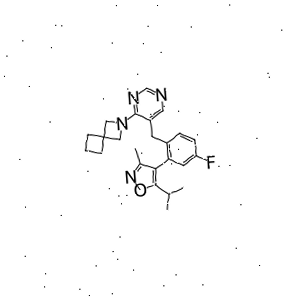 Cc1noc(C(C)C)c1-c1cc(F)ccc1Cc1cncnc1N1CC2(CCC2)C1